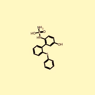 NP(=O)(O)Nc1ccc(O)cc1-c1ccccc1Sc1ccccc1